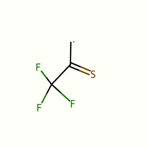 [CH2]C(=S)C(F)(F)F